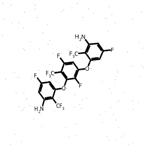 Nc1cc(F)cc(Oc2cc(F)c(C(F)(F)F)c(Oc3cc(F)cc(N)c3C(F)(F)F)c2F)c1C(F)(F)F